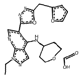 CCn1ncc2c(NC3CCOCC3)c(-c3nnc(Cc4ccco4)o3)cnc21.O=CO